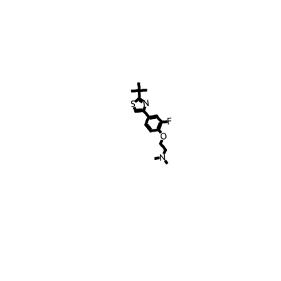 CN(C)CCOc1ccc(-c2csc(C(C)(C)C)n2)cc1F